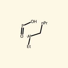 CCC[CH2][Al][CH2]C.O=PO